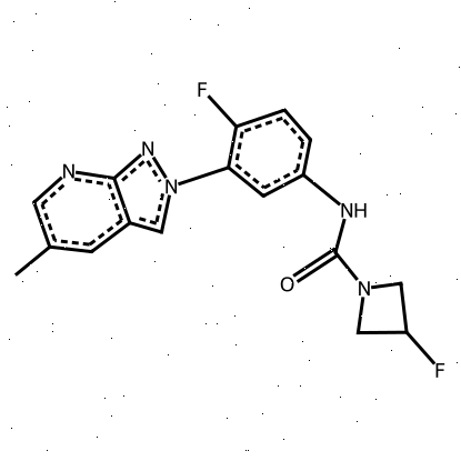 Cc1cnc2nn(-c3cc(NC(=O)N4CC(F)C4)ccc3F)cc2c1